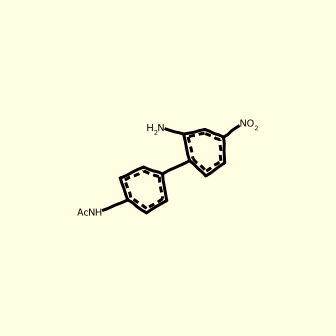 CC(=O)Nc1ccc(-c2ccc([N+](=O)[O-])cc2N)cc1